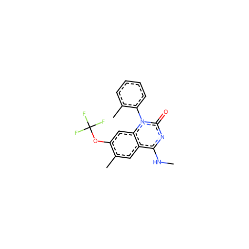 CNc1nc(=O)n(-c2ccccc2C)c2cc(OC(F)(F)F)c(C)cc12